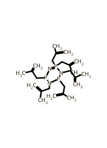 C=C(C)CN1P(CC(=C)C)N=P(CC(=C)C)(CC(=C)C)N(CC(=C)C)P1CC(=C)C